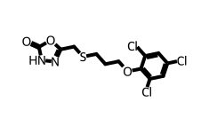 O=c1[nH]nc(CSCCCOc2c(Cl)cc(Cl)cc2Cl)o1